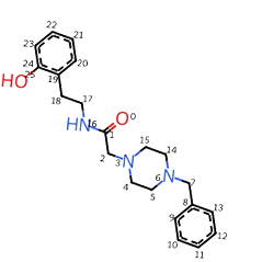 O=C(CN1CCN(Cc2ccccc2)CC1)NCCc1ccccc1O